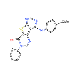 COc1ccc(Nc2ncnc3sc4c(=O)n(-c5ccccc5)cnc4c23)cc1